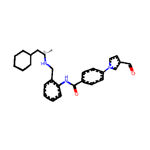 C[C@@H](CC1CCCCC1)NCc1ccccc1NC(=O)c1ccc(-n2ccc(C=O)c2)cc1